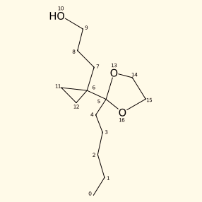 CCCCCC1(C2(CCCO)CC2)OCCO1